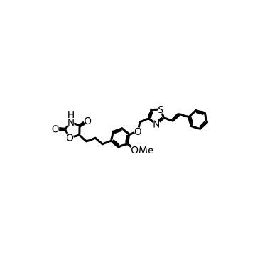 COc1cc(CCCC2OC(=O)NC2=O)ccc1OCc1csc(/C=C/c2ccccc2)n1